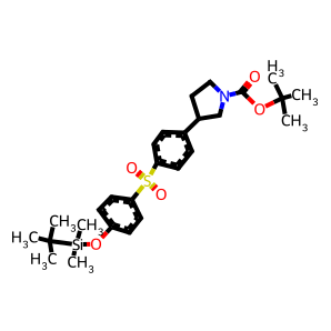 CC(C)(C)OC(=O)N1CCC(c2ccc(S(=O)(=O)c3ccc(O[Si](C)(C)C(C)(C)C)cc3)cc2)C1